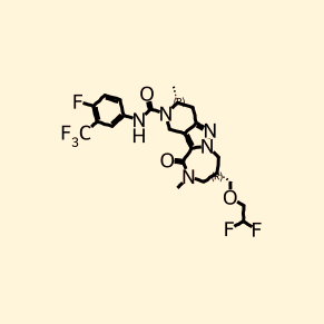 C[C@@H]1Cc2nn3c(c2CN1C(=O)Nc1ccc(F)c(C(F)(F)F)c1)C(=O)N(C)C[C@@H](COCC(F)F)C3